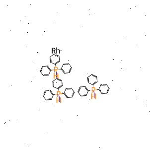 I[PH](c1ccccc1)(c1ccccc1)c1ccccc1.I[PH](c1ccccc1)(c1ccccc1)c1ccccc1.I[PH](c1ccccc1)(c1ccccc1)c1ccccc1.[Rh]